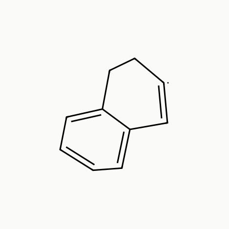 [C]1=Cc2ccccc2CC1